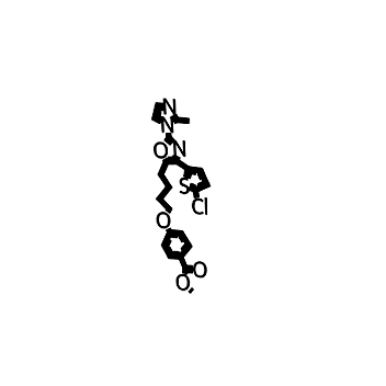 COC(=O)c1ccc(OCCCCc2oc(-n3ccnc3C)nc2-c2ccc(Cl)s2)cc1